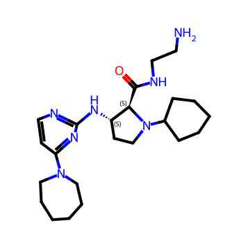 NCCNC(=O)[C@@H]1[C@@H](Nc2nccc(N3CCCCCC3)n2)CCN1C1CCCCC1